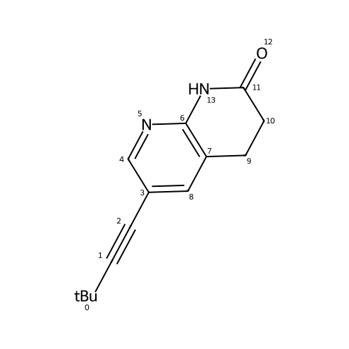 CC(C)(C)C#Cc1cnc2c(c1)CCC(=O)N2